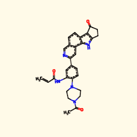 C=CC(=O)Nc1cc(-c2cc3c(ccc4c5c([nH]c43)CCC5=O)cn2)ccc1N1CCN(C(C)=O)CC1